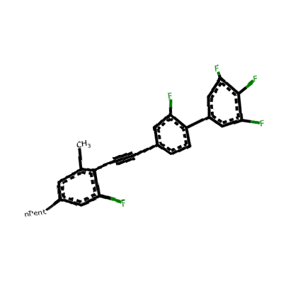 CCCCCc1cc(C)c(C#Cc2ccc(-c3cc(F)c(F)c(F)c3)c(F)c2)c(F)c1